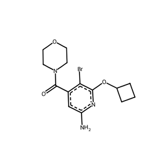 Nc1cc(C(=O)N2CCOCC2)c(Br)c(OC2CCC2)n1